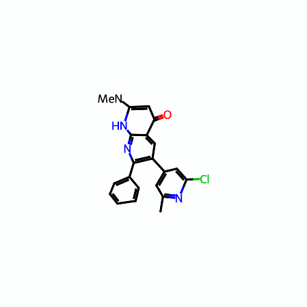 CNc1cc(=O)c2cc(-c3cc(C)nc(Cl)c3)c(-c3ccccc3)nc2[nH]1